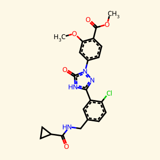 COC(=O)c1ccc(-n2nc(-c3cc(CNC(=O)C4CC4)ccc3Cl)[nH]c2=O)cc1OC